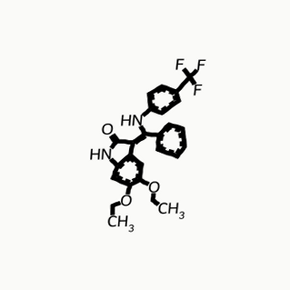 CCOc1cc2c(cc1OCC)/C(=C(/Nc1ccc(C(F)(F)F)cc1)c1ccccc1)C(=O)N2